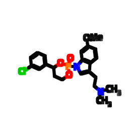 COc1ccc2c(CCN(C)C)cn(P3(=O)OCCC(c4cccc(Cl)c4)O3)c2c1